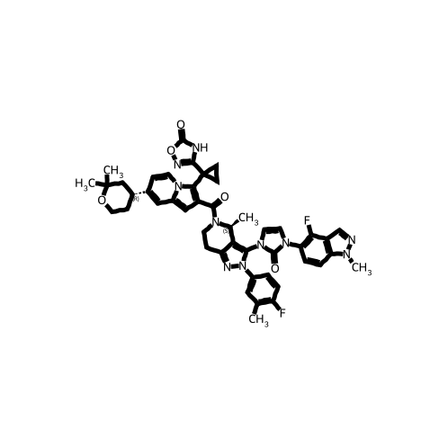 Cc1cc(-n2nc3c(c2-n2ccn(-c4ccc5c(cnn5C)c4F)c2=O)[C@H](C)N(C(=O)c2cc4cc([C@@H]5CCOC(C)(C)C5)ccn4c2C2(c4noc(=O)[nH]4)CC2)CC3)ccc1F